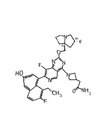 CCc1c(F)ccc2cc(O)cc(-c3ncc4c(N5CC(CC(N)=O)C5)nc(OC[C@@]56CCCN5C[C@H](F)C6)nc4c3F)c12